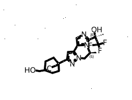 C[C@H]1Cn2nc(C34CCC(CO)(CC3)CC4)cc2-c2cnc([C@@](C)(O)C(F)(F)F)n21